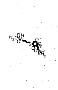 CNC(=O)NCCCCSC1=CC(=O)c2onc(C(=O)NC)c2C1=O